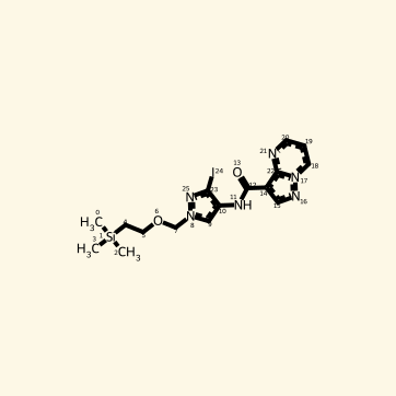 C[Si](C)(C)CCOCn1cc(NC(=O)c2cnn3cccnc23)c(I)n1